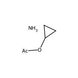 CC(=O)OC1CC1.N